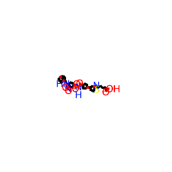 O=C(O)CCCc1nc2cc(-c3ccc(C(=O)NS(=O)(=O)c4ccc(NCC56CC7CC(CC(C7)C5)C6)c([N+](=O)[O-])c4)cc3)ccc2s1